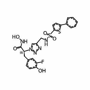 O=C(NO)[C@H](Cc1ccc(O)c(F)c1)n1cc(CNS(=O)(=O)c2ccc(-c3ccccc3)s2)nn1